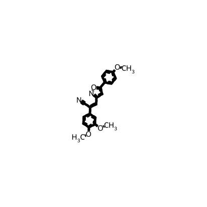 COc1ccc(-c2cc(C=C(C#N)c3ccc(OC)c(OC)c3)no2)cc1